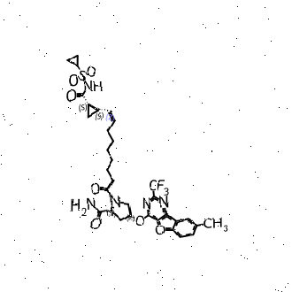 Cc1ccc2oc3c(O[C@@H]4C[C@@H](C(N)=O)N(C(=O)CCCCCC/C=C\[C@@H]5C[C@@H]5C(=O)NS(=O)(=O)C5CC5)C4)nc(C(F)(F)F)nc3c2c1